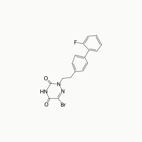 O=c1[nH]c(=O)n(CCc2ccc(-c3ccccc3F)cc2)nc1Br